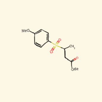 COC(=O)CC(C)S(=O)(=O)c1ccc(OC)cc1